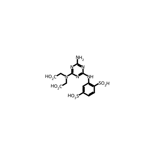 Nc1nc(Nc2cc(S(=O)(=O)O)ccc2S(=O)(=O)O)nc(N(CC(=O)O)CC(=O)O)n1